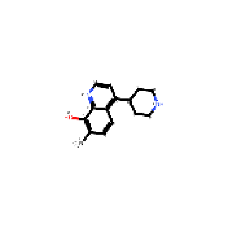 O=[N+]([O-])c1ccc2c(C3CCNCC3)ccnc2c1O